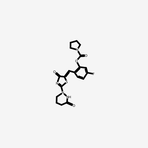 O=C1CCCN(C2=NC(=O)C(=Cc3ccc(F)cc3OC(=O)N3CCCC3)S2)N1